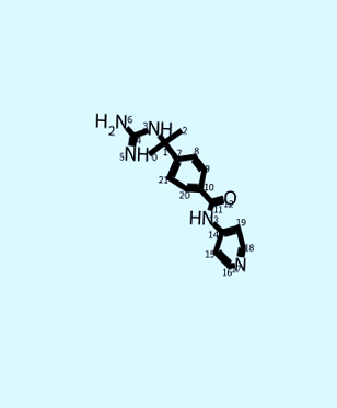 CC(C)(NC(=N)N)c1ccc(C(=O)Nc2ccncc2)cc1